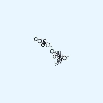 COc1ccc(S(=O)(=O)N2CCC(Cc3cccc(NC(=O)Nc4cc(C(C)(C)C)nn4-c4ccc(C)cc4)c3)CC2)cc1